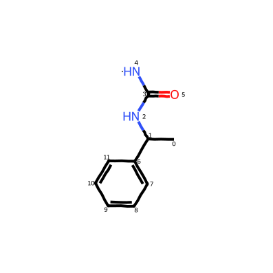 CC(NC([NH])=O)c1ccccc1